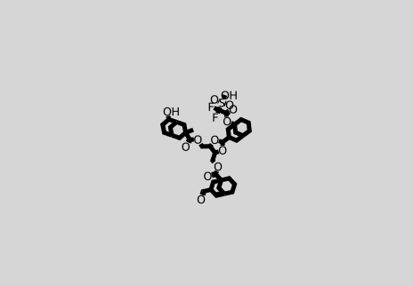 CC1(C(=O)OCC2OC(C3CC4CCCC(OC(=O)C(F)(F)S(=O)(=O)O)(C4)C3)OC2COC(=O)C23CCCC(=CC(C=O)C2)C3)CC2CCC(O)C(C2)C1